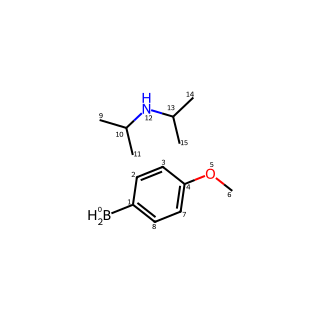 Bc1ccc(OC)cc1.CC(C)NC(C)C